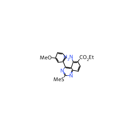 CCOC(=O)c1ccc2nc(SC)nc(-c3cccc(OC)c3)c2c1N